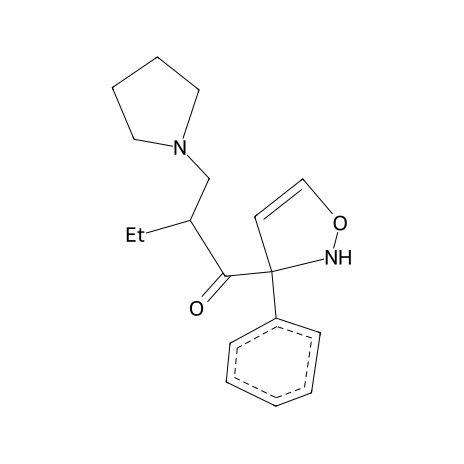 CCC(CN1CCCC1)C(=O)C1(c2ccccc2)C=CON1